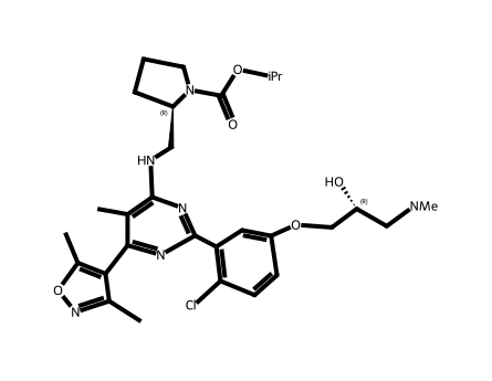 CNC[C@@H](O)COc1ccc(Cl)c(-c2nc(NC[C@H]3CCCN3C(=O)OC(C)C)c(C)c(-c3c(C)noc3C)n2)c1